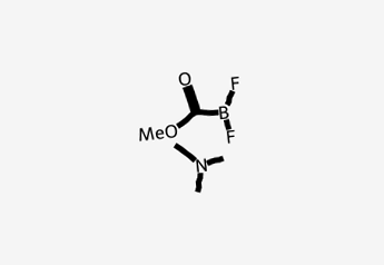 CN(C)C.COC(=O)B(F)F